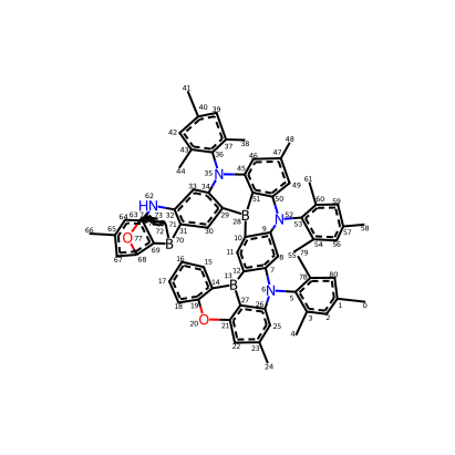 Cc1cc(C)c(N2c3cc4c(cc3B3c5ccccc5Oc5cc(C)cc2c53)B2c3cc5c(cc3N(c3c(C)cc(C)cc3C)c3cc(C)cc(c32)N4c2c(C)cc(C)cc2C)Nc2cc(C)cc3c2B5c2ccccc2O3)c(C)c1